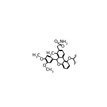 COc1ccc(C2Oc3cccc(OC(F)F)c3-c3ccc(CS(N)(=O)=O)c(C)c32)cc1OC